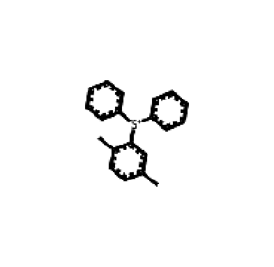 Cc1ccc(C)c([S+](c2ccccc2)c2ccccc2)c1